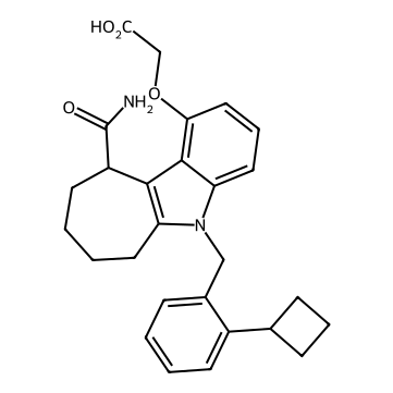 NC(=O)C1CCCCc2c1c1c(OCC(=O)O)cccc1n2Cc1ccccc1C1CCC1